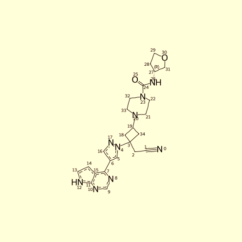 N#CCC1(n2cc(-c3ncnc4[nH]ccc34)cn2)CC(N2CCN(C(=O)N[C@@H]3CCOC3)CC2)C1